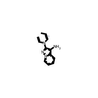 C=CN(/C=C\C)c1nn2ccccc2c1N